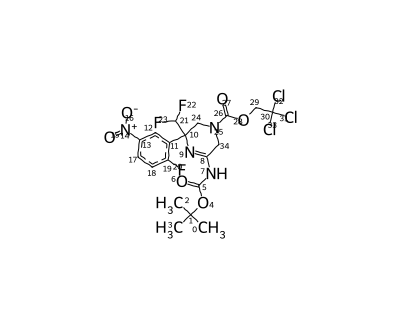 CC(C)(C)OC(=O)NC1=NC(c2cc([N+](=O)[O-])ccc2F)(C(F)F)CN(C(=O)OCC(Cl)(Cl)Cl)C1